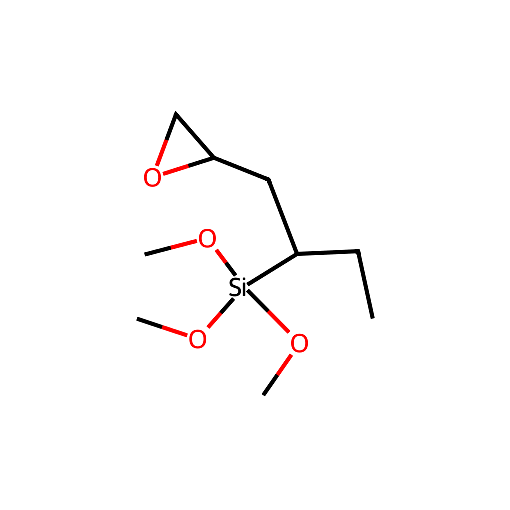 CCC(CC1CO1)[Si](OC)(OC)OC